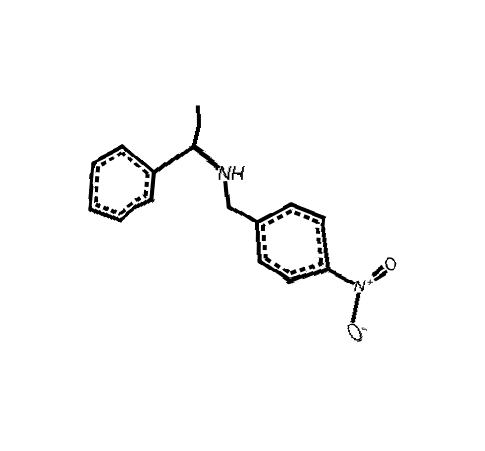 CC(NCc1ccc([N+](=O)[O-])cc1)c1ccccc1